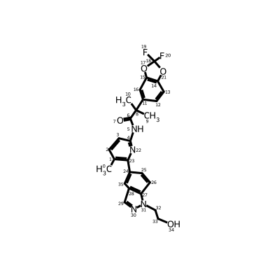 Cc1ccc(NC(=O)C(C)(C)c2ccc3c(c2)OC(F)(F)O3)nc1-c1ccc2c(cnn2CCO)c1